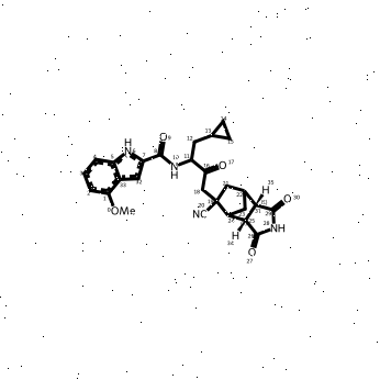 COc1cccc2[nH]c(C(=O)NC(CC3CC3)C(=O)CC3(C#N)CC4CC3[C@H]3C(=O)NC(=O)[C@@H]43)cc12